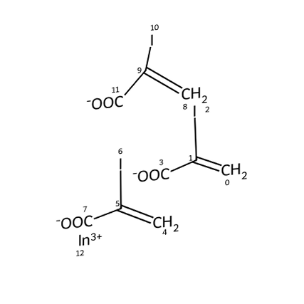 C=C(I)C(=O)[O-].C=C(I)C(=O)[O-].C=C(I)C(=O)[O-].[In+3]